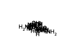 Nc1ccn([C@H]2C[C@H](O[PH](O)(O)OC[C@H]3O[C@@H](n4cnc5c(N)ncnc54)[C@H](O)[C@@H]3O)[C@@H](COP=O)O2)c(=O)n1